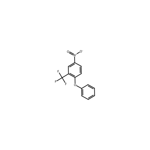 O=[N+]([O-])c1ccc(Oc2ccccc2)c(C(F)(F)F)c1